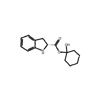 O=C(OC1(O)CCCCC1)[C@H]1Cc2ccccc2N1